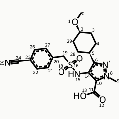 CO[C@H]1CC[C@@H](c2nn(C)c(C(=O)O)c2NS(=O)(=O)Cc2ccc(C#N)cc2)CC1